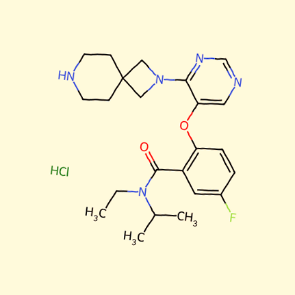 CCN(C(=O)c1cc(F)ccc1Oc1cncnc1N1CC2(CCNCC2)C1)C(C)C.Cl